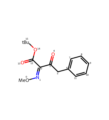 CON=C(C(=O)Cc1ccccc1)C(=O)OC(C)(C)C